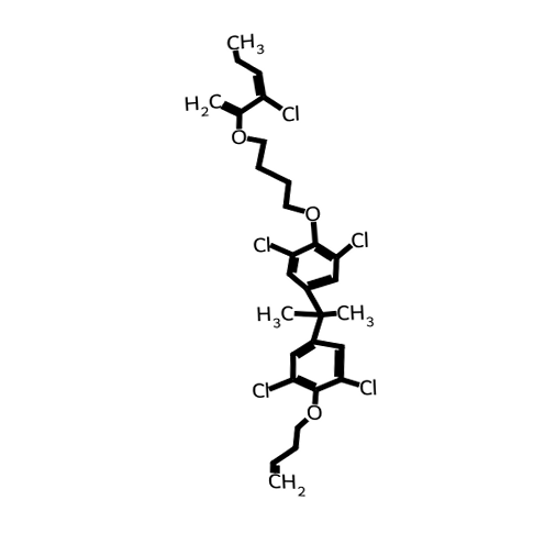 C=CCCOc1c(Cl)cc(C(C)(C)c2cc(Cl)c(OCCCCOC(=C)/C(Cl)=C\CC)c(Cl)c2)cc1Cl